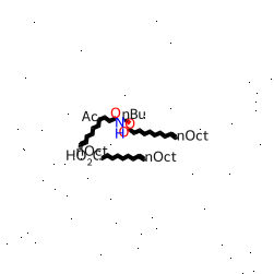 CCCCCCCCC=CCCCCCCCC(=O)O.CCCCCCCCC=CCCCCCCCC(=O)OC(CCCC)NC(=O)CCC(CCCCC=CCCCCCCCC)C(C)=O